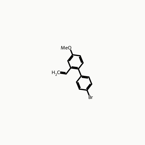 C=Cc1cc(OC)ccc1-c1ccc(Br)cc1